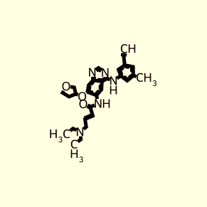 C#Cc1cc(C)cc(Nc2ncnc3cc(OC4CCOC4)c(NC(=O)C=CCN(CC)CC)cc23)c1